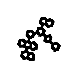 c1cncc(-c2ccc(-c3cc(-c4cccc5ccccc45)nc(-c4cccc(-c5c6ccccc6c(-c6cccc7ccccc67)c6ccccc56)c4)n3)cc2)c1